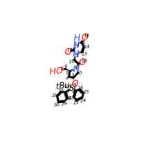 CC(C)(C)[Si](O[C@@H]1C[C@@H](CO)N(C(=O)Cn2ccc(=O)[nH]c2=O)C1)(c1ccccc1)c1ccccc1